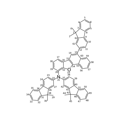 CC1(C)c2ccccc2-c2ccc(-c3cc4c5cccc(N(c6ccc7c(c6)C(C)(C)c6ccccc6-7)c6ccc7c(c6)C(C)(C)c6ccccc6-7)c5oc4c4ccccc34)cc21